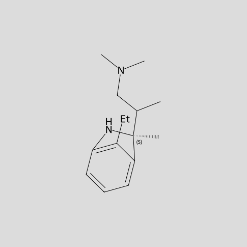 CCc1c2cccc1[C@](C)(C(C)CN(C)C)N2